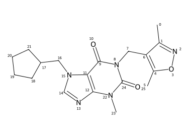 Cc1noc(C)c1Cn1c(=O)c2c(ncn2CC2CCCC2)n(C)c1=O